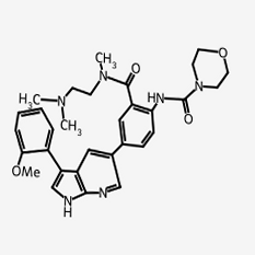 COc1ccccc1-c1c[nH]c2ncc(-c3ccc(NC(=O)N4CCOCC4)c(C(=O)N(C)CCN(C)C)c3)cc12